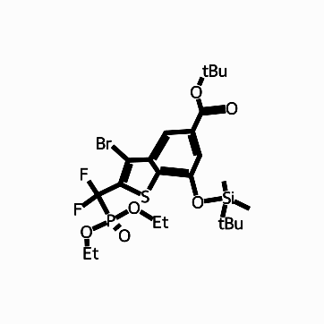 CCOP(=O)(OCC)C(F)(F)c1sc2c(O[Si](C)(C)C(C)(C)C)cc(C(=O)OC(C)(C)C)cc2c1Br